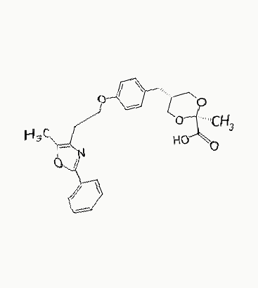 Cc1oc(-c2ccccc2)nc1CCOc1ccc(C[C@H]2CO[C@](C)(C(=O)O)OC2)cc1